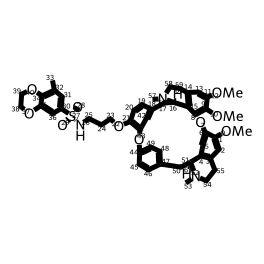 COc1cc2c3cc1Oc1c(OC)c(OC)cc4c1[C@@H](Cc1ccc(OCCCNS(=O)(=O)c5cc(C)c6c(c5)OCCO6)c(c1)Oc1ccc(cc1)C[C@@H]3N(C)CC2)N(C)CC4